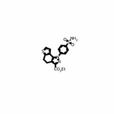 CCOC(=O)c1nn(-c2ccc(S(N)(=O)=O)cc2)c2c1CCc1sccc1-2